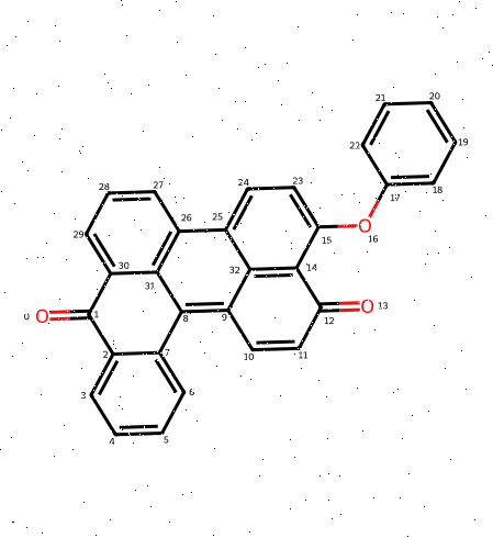 O=c1c2ccccc2c2c3ccc(=O)c4c(Oc5ccccc5)ccc(c5cccc1c52)c43